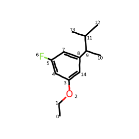 CCOc1cc(F)cc(C(C)C(C)C)c1